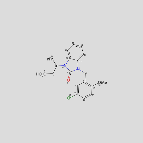 CCCC(CC(=O)O)n1c(=O)n(Cc2cc(Cl)ccc2OC)c2ccccc21